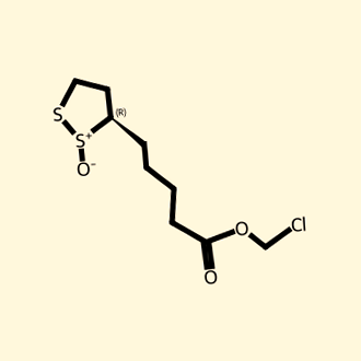 O=C(CCCC[C@@H]1CCS[S+]1[O-])OCCl